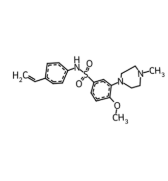 C=Cc1ccc(NS(=O)(=O)c2ccc(OC)c(N3CCN(C)CC3)c2)cc1